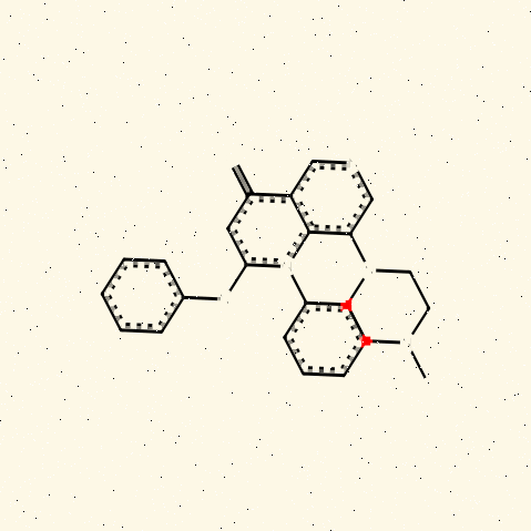 CN1CCN(c2cncc3c(=O)cc(Nc4ccccc4)n(-c4ccccc4)c23)CC1